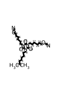 CC(C)CCCCCCn1c(=O)n(CCCCCCOC#N)c(=O)n(CCCCCCOC#N)c1=O